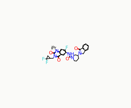 CC(C)n1c(=O)n(CC2CC2(F)F)c(=O)c2cc(NC(=O)N3CCCC(N4Cc5ccccc5C4=O)C3)c(F)cc21